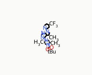 Cc1cn(-c2cc(C(F)(F)F)ccn2)c2ncnc(N3C[C@@H](C)N(C(=O)OC(C)(C)C)C[C@@H]3C)c12